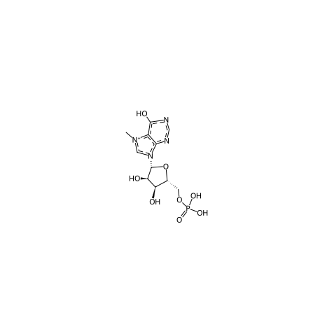 C[n+]1cn([C@@H]2O[C@H](COP(=O)(O)O)[C@@H](O)[C@H]2O)c2ncnc(O)c21